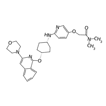 CN(C)C(=O)COc1ccc(N[C@H]2CC[C@@H](Oc3nc(N4CCOCC4)cc4ccccc34)CC2)nc1